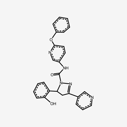 O=C(Nc1ccc(Oc2ccccc2)nc1)N1N=C(c2cccnc2)CC1c1ccccc1O